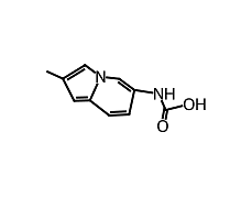 Cc1cc2ccc(NC(=O)O)cn2c1